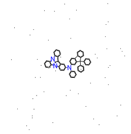 c1ccc(N(c2ccc3c(c2)C(c2ccccc2)(c2ccccc2)c2ccccc2-3)c2ccc3c(c2)c2c4ccccc4n4c5ccccc5n3c24)cc1